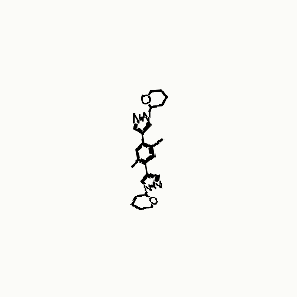 Cc1cc(-c2cnn(C3CCCCO3)c2)c(C)cc1-c1cnn(C2CCCCO2)c1